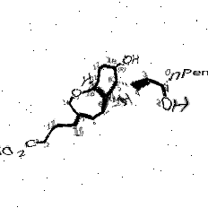 CCCCC[C@H](O)C=C[C@@H]1[C@H]2CC=C(CCCC(=O)O)CO[C@H]2C[C@H]1O